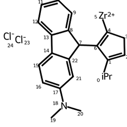 CC(C)C1=CC[C]([Zr+2])=C1C1c2ccccc2-c2ccc(N(C)C)cc21.[Cl-].[Cl-]